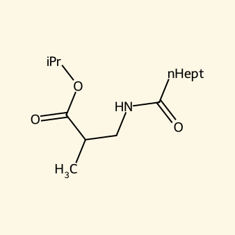 CCCCCCCC(=O)NCC(C)C(=O)OC(C)C